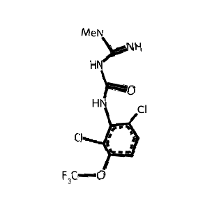 CNC(=N)NC(=O)Nc1c(Cl)ccc(OC(F)(F)F)c1Cl